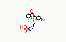 O=C(O)[C@@H]1CCN(CCCOc2cc(Br)ccc2-c2cc(=O)c3cccc(Cl)c3o2)C1